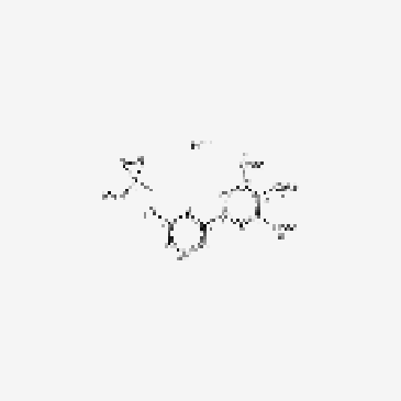 CNC1(COc2cncc(-c3cc(OC)c(OC)c(OC)c3)c2)CC1.Cl